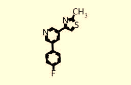 Cc1nc(-c2cncc(-c3ccc(F)cc3)c2)cs1